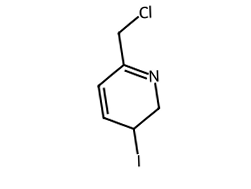 ClCC1=NCC(I)C=C1